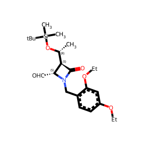 CCOc1ccc(CN2C(=O)[C@H]([C@@H](C)O[Si](C)(C)C(C)(C)C)[C@H]2C=O)c(OCC)c1